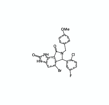 COc1ccc(CN2C(=O)c3c(c(Br)cc4[nH]c(=O)[nH]c34)C2c2cc(F)ccc2Cl)cc1